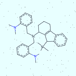 CN(C)c1ccccc1[CH2][Sc]([CH2]c1ccccc1N(C)C)[CH]1CCCC2=C1C([Si](C)(C)C)c1ccccc12